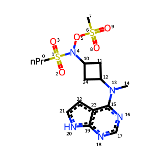 CCCS(=O)(=O)N(OS(C)(=O)=O)C1CC(N(C)c2ncnc3[nH]ccc23)C1